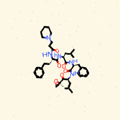 CC(C)C[C@H](NC(=O)[C@H](CCc1ccccc1)NC(=O)CCN1CCCCC1)C(=O)N[C@@H](Cc1ccccc1)C(=O)N[C@@H](CC(C)C)C(=O)[C@@]1(C)CO1